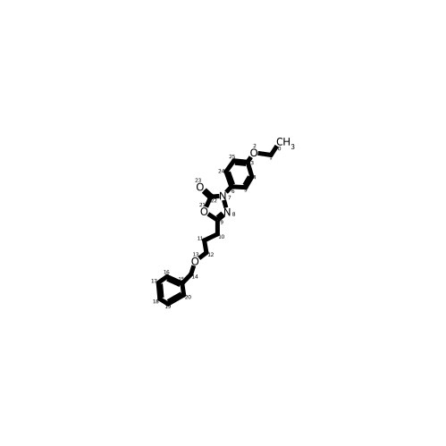 CCOc1ccc(-n2nc(CCCOCc3ccccc3)oc2=O)cc1